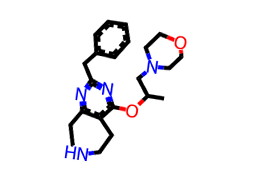 CC(CN1CCOCC1)Oc1nc(Cc2ccccc2)nc2c1CCNCC2